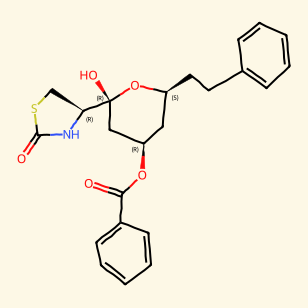 O=C1N[C@H]([C@@]2(O)C[C@H](OC(=O)c3ccccc3)C[C@H](CCc3ccccc3)O2)CS1